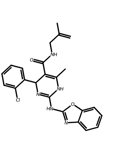 C=C(C)CNC(=O)C1=C(C)NC(Nc2nc3ccccc3o2)=NC1c1ccccc1Cl